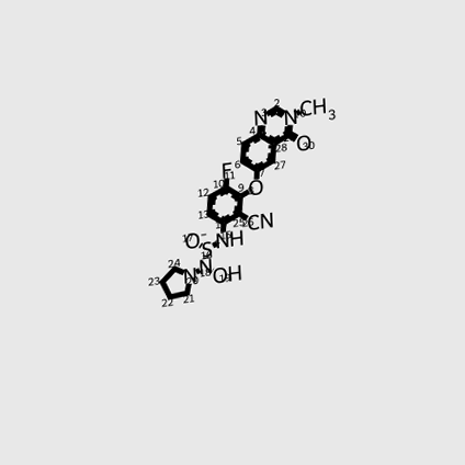 Cn1cnc2ccc(Oc3c(F)ccc(N[S+]([O-])N(O)N4CCCC4)c3C#N)cc2c1=O